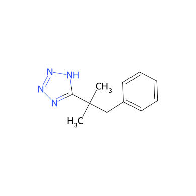 CC(C)(Cc1ccccc1)c1nnn[nH]1